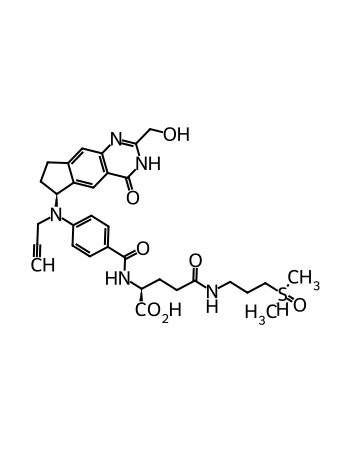 C#CCN(c1ccc(C(=O)N[C@@H](CCC(=O)NCCC[SH](C)(C)=O)C(=O)O)cc1)[C@H]1CCc2cc3nc(CO)[nH]c(=O)c3cc21